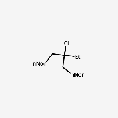 CCCCCCCCCCC(Cl)(CC)CCCCCCCCCC